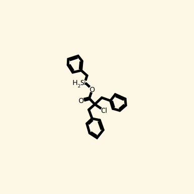 O=C(O[SiH2]Cc1ccccc1)C(Cl)(Cc1ccccc1)Cc1ccccc1